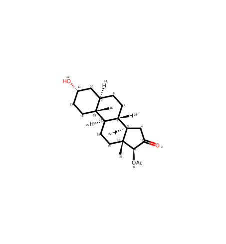 CC(=O)O[C@@H]1C(=O)C[C@@H]2[C@H]3CC[C@@H]4C[C@@H](O)CC[C@@]4(C)[C@@H]3CC[C@@]12C